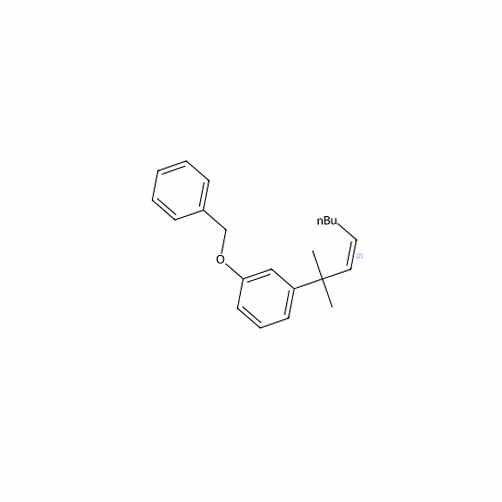 CCCC/C=C\C(C)(C)c1cccc(OCc2ccccc2)c1